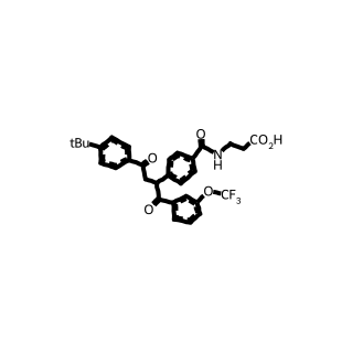 CC(C)(C)c1ccc(C(=O)CC(C(=O)c2cccc(OC(F)(F)F)c2)c2ccc(C(=O)NCCC(=O)O)cc2)cc1